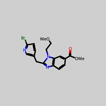 COCCn1c(Cc2ccc(Br)nc2)nc2ccc(C(=O)OC)cc21